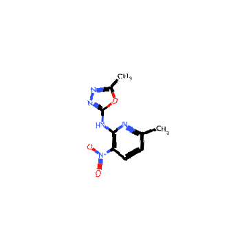 Cc1ccc([N+](=O)[O-])c(Nc2nnc(C)o2)n1